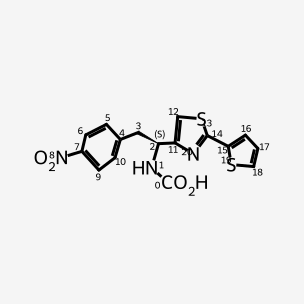 O=C(O)N[C@@H](Cc1ccc([N+](=O)[O-])cc1)c1csc(-c2cccs2)n1